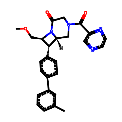 COC[C@@H]1[C@@H](c2ccc(-c3cccc(C)c3)cc2)[C@@H]2CN(C(=O)c3cnccn3)CC(=O)N12